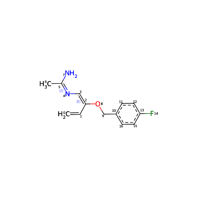 C=C/C(=C\N=C(\C)N)OCc1ccc(F)cc1